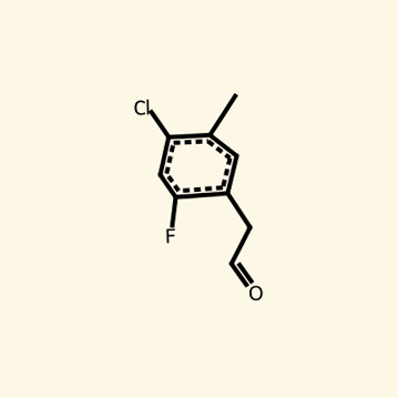 Cc1cc(CC=O)c(F)cc1Cl